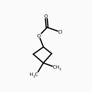 CC1(C)CC(OC(=O)Cl)C1